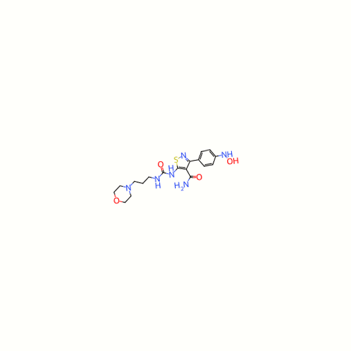 NC(=O)c1c(-c2ccc(NO)cc2)nsc1NC(=O)NCCCN1CCOCC1